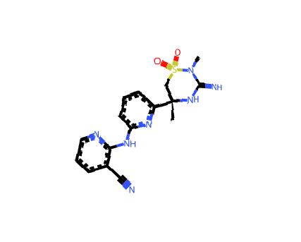 CN1C(=N)N[C@](C)(c2cccc(Nc3ncccc3C#N)n2)CS1(=O)=O